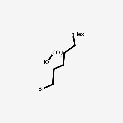 CCCCCCCCCCCBr.O=C(O)O